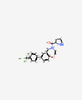 O=C(C1CCCN1)N1CCOc2ccc(-c3ccc(C(F)(F)F)cc3)cc2C1